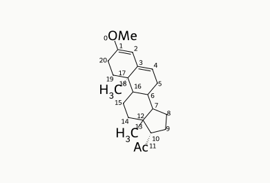 COC1=CC2=CCC3C4CC[C@H](C(C)=O)C4(C)CCC3[C@@]2(C)CC1